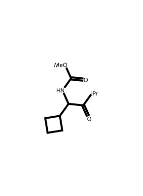 COC(=O)NC(C(=O)C(C)C)C1CCC1